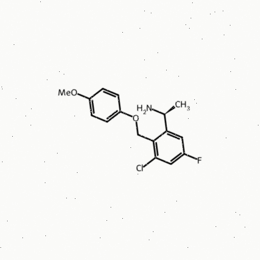 COc1ccc(OCc2c(Cl)cc(F)cc2[C@H](C)N)cc1